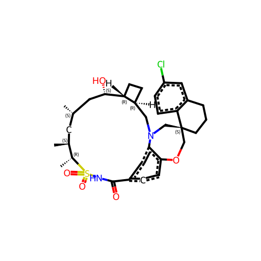 C[C@H]1C[C@H](C)[C@@H](C)S(=O)(=O)NC(=O)c2ccc3c(c2)N(C[C@@H]2CC[C@H]2[C@@H](O)C1)C[C@@]1(CCCc2cc(Cl)ccc21)CO3